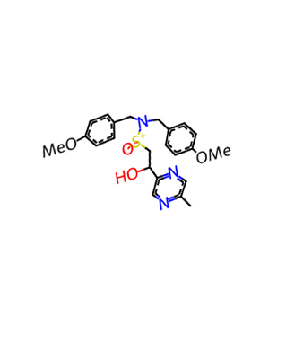 COc1ccc(CN(Cc2ccc(OC)cc2)[S+]([O-])CC(O)c2cnc(C)cn2)cc1